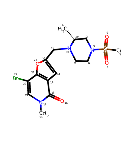 C[C@@H]1CN(S(C)(=O)=O)CCN1Cc1cc2c(=O)n(C)cc(Br)c2o1